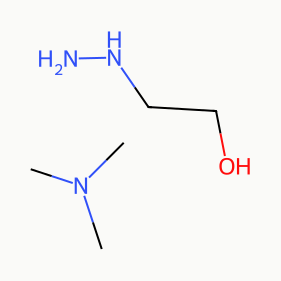 CN(C)C.NNCCO